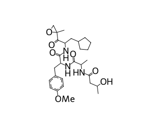 COc1ccc(CC(NC(=O)C(C)NC(=O)CC(C)O)C(=O)NC(CC2CCCC2)C(=O)C2(C)CO2)cc1